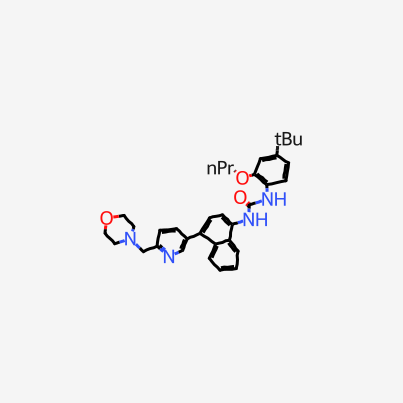 CCCOc1cc(C(C)(C)C)ccc1NC(=O)Nc1ccc(-c2ccc(CN3CCOCC3)nc2)c2ccccc12